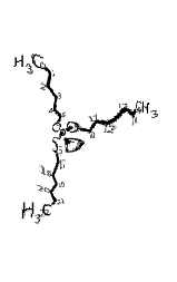 CCCCCCOP(=O)(OCCCCCC)SCCCCCC